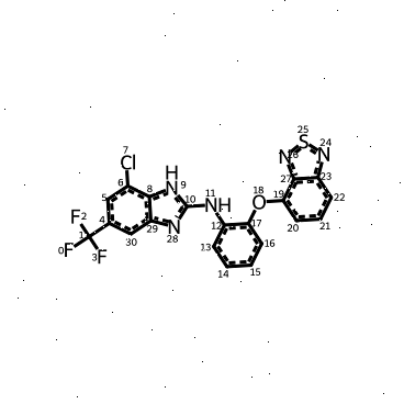 FC(F)(F)c1cc(Cl)c2[nH]c(Nc3ccccc3Oc3cccc4nsnc34)nc2c1